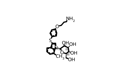 Cc1cccc2c(Sc3ccc(OCCCN)cc3)cn([C@@H]3O[C@H](CO)[C@@H](O)[C@H](O)[C@H]3O)c12